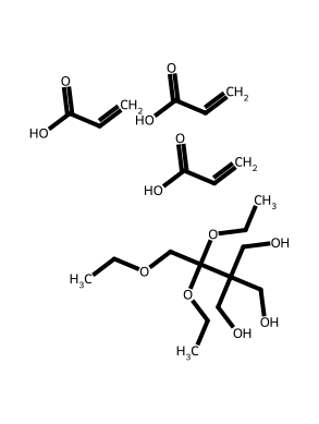 C=CC(=O)O.C=CC(=O)O.C=CC(=O)O.CCOCC(OCC)(OCC)C(CO)(CO)CO